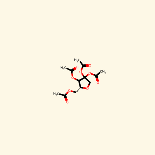 CC(=O)OC[C@H]1OCC(OC(C)=O)(OC(C)=O)C1OC(C)=O